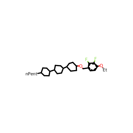 CCCCCC1CCC(C2CCC(C3CCC(OCc4ccc(OCC)c(F)c4F)CC3)CC2)CC1